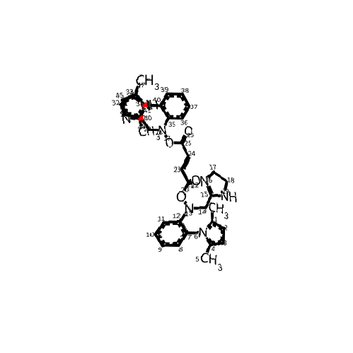 Cc1ccc(C)n1-c1ccccc1N(CC1=NCCN1)OC(=O)/C=C/C(=O)ON(CC1=NCCN1)c1ccccc1-n1c(C)ccc1C